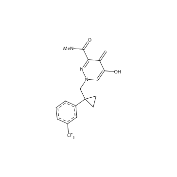 C=C1C(O)=CN(CC2(c3cccc(C(F)(F)F)c3)CC2)N=C1C(=O)NC